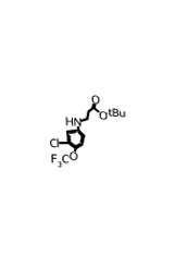 CC(C)(C)OC(=O)CCNc1ccc(OC(F)(F)F)c(Cl)c1